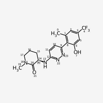 Cc1cc(C(F)(F)F)cc(O)c1-c1ccc(N[C@@H]2CCCN(C)C2=O)nn1